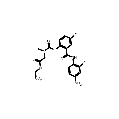 CN(CC(=O)NCC(=O)O)C(=O)Oc1ccc(Cl)cc1C(=O)Nc1ccc([N+](=O)[O-])cc1Cl